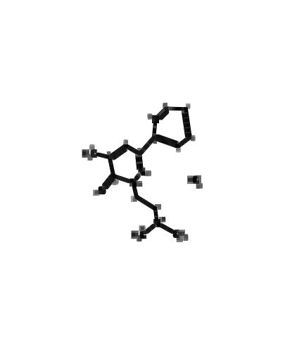 Cc1cc(-c2ccccn2)nn(CCN(C)C)c1=O.Cl